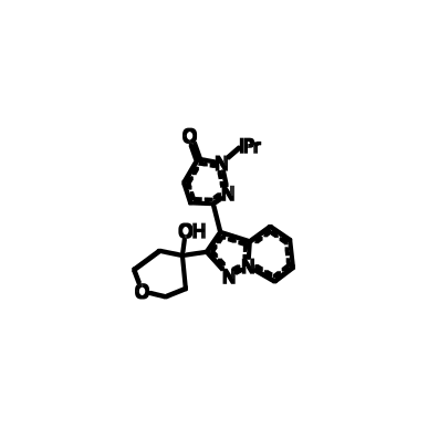 CC(C)n1nc(-c2c(C3(O)CCOCC3)nn3ccccc23)ccc1=O